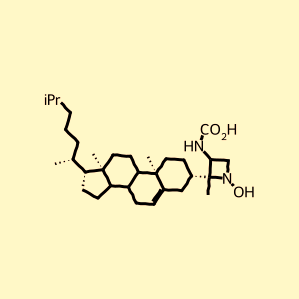 CC(C)CCC[C@@H](C)[C@H]1CCC2C3CC=C4C[C@@H](C5(C)C(NC(=O)O)CN5O)CC[C@]4(C)C3CC[C@@]21C